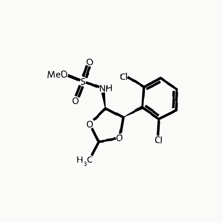 COS(=O)(=O)N[C@@H]1OC(C)O[C@@H]1c1c(Cl)cccc1Cl